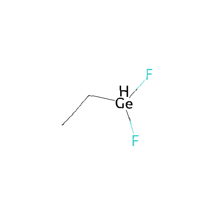 C[CH2][GeH]([F])[F]